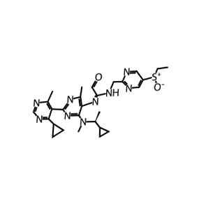 CC[S+]([O-])c1cnc(CN/C(C=O)=N/c2c(C)nc(-c3c(C)ncnc3C3CC3)nc2N(C)[C@@H](C)C2CC2)nc1